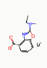 CCN(C)c1nc2c(C(=O)[O-])cccc2o1.[Li+]